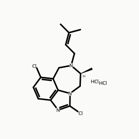 CC(C)=CCN1Cc2c(Cl)ccc3nc(Cl)n(c23)C[C@@H]1C.Cl.Cl